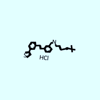 CN(CC=CC#CC(C)(C)C)Cc1cccc(C=Cc2cccc(-c3ccsc3)c2)c1.Cl